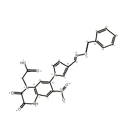 O=C(O)Cn1c(=O)c(=O)[nH]c2cc([N+](=O)[O-])c(-n3ccc(/C=N/OCc4ccccc4)c3)cc21